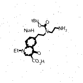 CCn1cc(C(=O)O)c(=O)c2cc(CCN(CCN)C(=O)OC(C)(C)C)ccc21.[NaH]